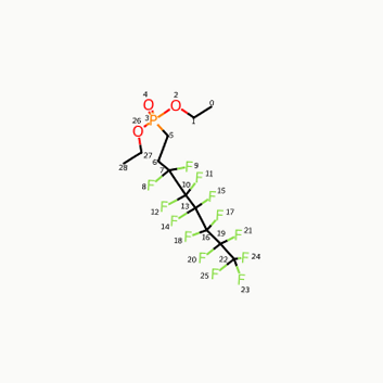 CCOP(=O)(CCC(F)(F)C(F)(F)C(F)(F)C(F)(F)C(F)(F)C(F)(F)F)OCC